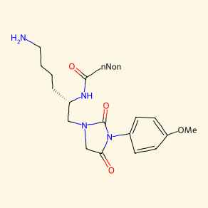 CCCCCCCCCC(=O)N[C@@H](CCCCN)CN1CC(=O)N(c2ccc(OC)cc2)C1=O